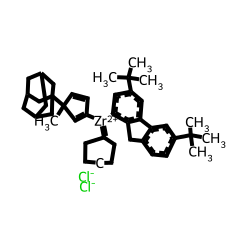 CC(C)(C)c1ccc2c(c1)-c1cc(C(C)(C)C)c[c]([Zr+2]([C]3=CC(C)(C45CC6CC(CC(C6)C4)C5)C=C3)=[C]3CCCCC3)c1C2.[Cl-].[Cl-]